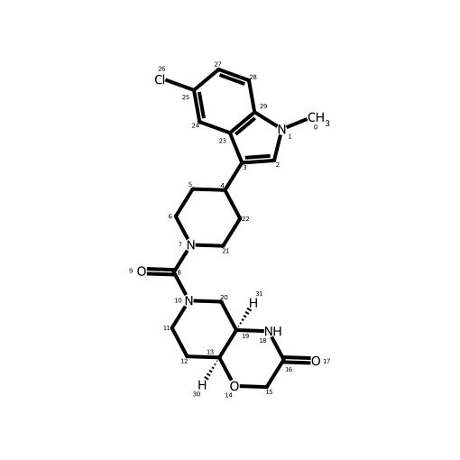 Cn1cc(C2CCN(C(=O)N3CC[C@@H]4OCC(=O)N[C@@H]4C3)CC2)c2cc(Cl)ccc21